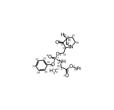 CC(C)OC(=O)[C@H](C)NP(=O)(OCC1C(=O)[C@@H]2CCN1C2)Oc1ccccc1